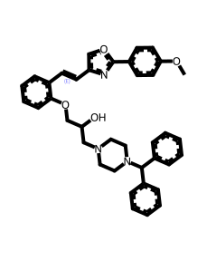 COc1ccc(-c2nc(/C=C/c3ccccc3OCC(O)CN3CCN(C(c4ccccc4)c4ccccc4)CC3)co2)cc1